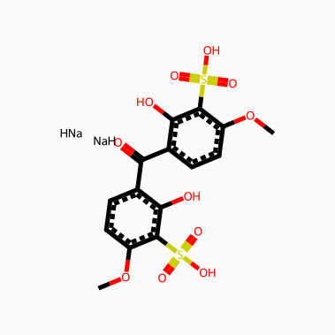 COc1ccc(C(=O)c2ccc(OC)c(S(=O)(=O)O)c2O)c(O)c1S(=O)(=O)O.[NaH].[NaH]